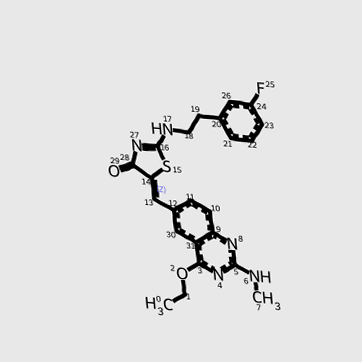 CCOc1nc(NC)nc2ccc(/C=C3\SC(NCCc4cccc(F)c4)=NC3=O)cc12